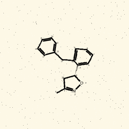 CC1=NO[C@@H](c2ccccc2Cc2ccccc2)C1